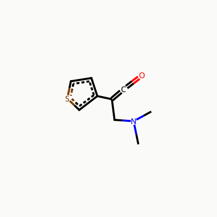 CN(C)CC(=C=O)c1ccsc1